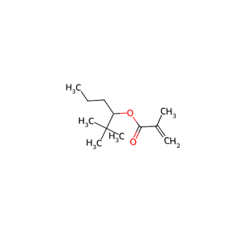 C=C(C)C(=O)OC(CCC)C(C)(C)C